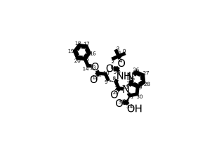 CC(C)(C)OC(=O)N[C@@H](CCC(=O)OCc1ccccc1)C(=O)N1c2ncccc2C[C@H]1C(=O)O